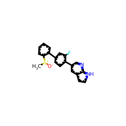 C[S+]([O-])c1ccccc1-c1ccc(-c2cnc3[nH]ccc3c2)c(F)c1